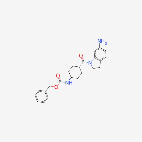 Nc1ccc2c(c1)N(C(=O)[C@H]1CC[C@H](NC(=O)OCc3ccccc3)CC1)CC2